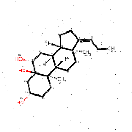 CC/C=C1/CC[C@H]2[C@@H]3C[C@@H](O)[C@@]4(O)C[C@@H](O)CC[C@]4(C)[C@H]3CC[C@]12C